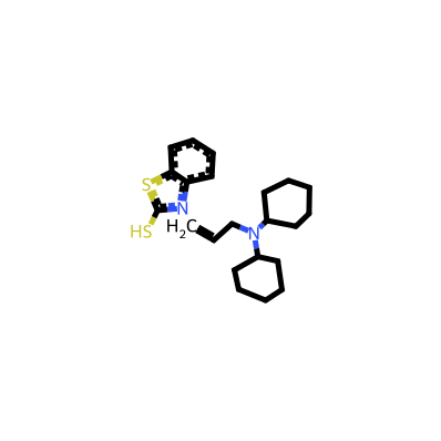 C=CCN(C1CCCCC1)C1CCCCC1.Sc1nc2ccccc2s1